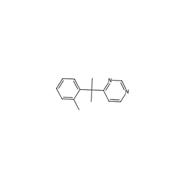 Cc1ccccc1C(C)(C)c1ccncn1